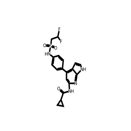 O=C(Nc1cc(-c2ccc(NS(=O)(=O)CC(F)F)cc2)c2cc[nH]c2n1)C1CC1